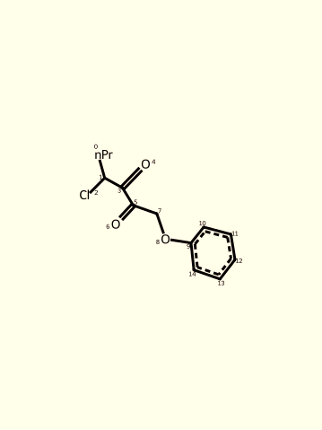 CCCC(Cl)C(=O)C(=O)COc1ccccc1